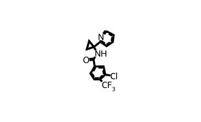 O=C(NC1(c2ccccn2)CC1)c1ccc(C(F)(F)F)c(Cl)c1